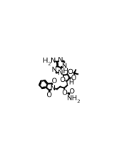 CC1(C)O[C@@H]2[C@H](O1)[C@@H](CC(CCN1C(=O)c3ccccc3C1=O)OC(N)=O)O[C@H]2n1cnc2c(N)ncnc21